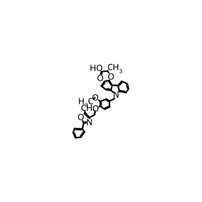 COc1cc(Cn2c3ccccc3c3c(O[C@H](C)C(=O)O)cccc32)ccc1OCc1nc(-c2ccccc2)oc1C